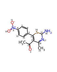 CC(=O)C1=C(c2ccc([N+](=O)[O-])cc2)SC(N)N=C1C